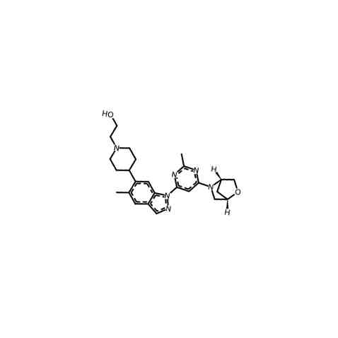 Cc1nc(N2C[C@@H]3C[C@H]2CO3)cc(-n2ncc3cc(C)c(C4CCN(CCO)CC4)cc32)n1